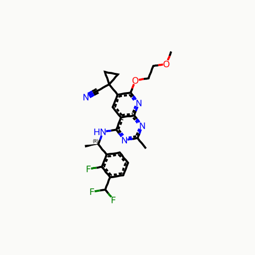 COCCOc1nc2nc(C)nc(N[C@H](C)c3cccc(C(F)F)c3F)c2cc1C1(C#N)CC1